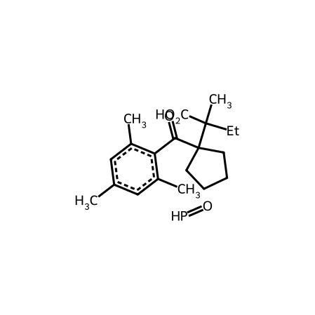 CCC(C)(C(=O)O)C1(C(=O)c2c(C)cc(C)cc2C)CCCC1.O=P